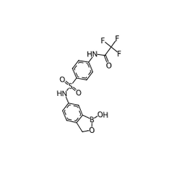 O=C(Nc1ccc(S(=O)(=O)Nc2ccc3c(c2)B(O)OC3)cc1)C(F)(F)F